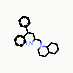 NC(CC(c1ccccc1)c1ccccc1)CN1CCCC2CCCCC21